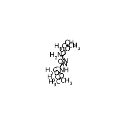 CC[C@H](NC(=O)OC(C)(C)C)c1nnc([C@@H](N)CC(=O)OC(C)(C)C)o1